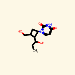 CCC(O)C1C(CO)CC1n1ccc(=O)[nH]c1=O